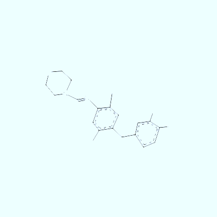 Cc1cc(/N=C/N2CCOCC2)c(C)cc1Cc1ccc(F)c(Cl)c1